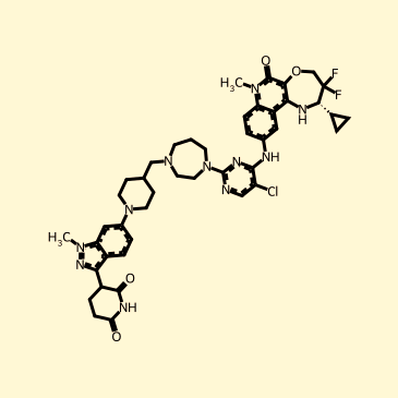 Cn1nc(C2CCC(=O)NC2=O)c2ccc(N3CCC(CN4CCCN(c5ncc(Cl)c(Nc6ccc7c(c6)c6c(c(=O)n7C)OCC(F)(F)[C@H](C7CC7)N6)n5)CC4)CC3)cc21